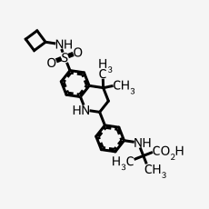 CC(C)(Nc1cccc(C2CC(C)(C)c3cc(S(=O)(=O)NC4CCC4)ccc3N2)c1)C(=O)O